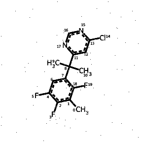 Cc1c(F)c(F)cc(C(C)(C)c2cc(Cl)ncn2)c1F